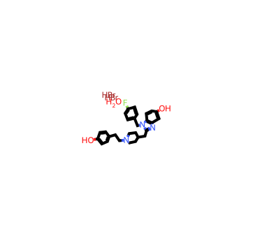 Br.Br.O.Oc1ccc(CCN2CCC(Cc3nc4cc(O)ccc4n3Cc3ccc(F)cc3)CC2)cc1